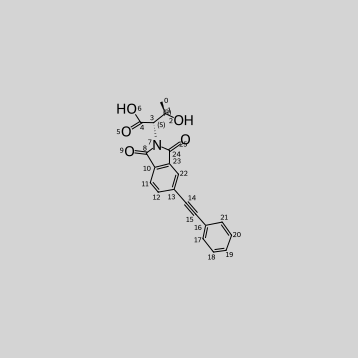 C[C@@H](O)[C@@H](C(=O)O)N1C(=O)c2ccc(C#Cc3ccccc3)cc2C1=O